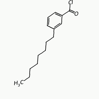 CCCCCCCCc1cccc(C(=O)Cl)c1